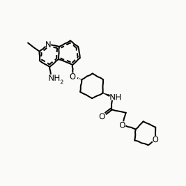 Cc1cc(N)c2c(O[C@H]3CC[C@H](NC(=O)COC4CCOCC4)CC3)cccc2n1